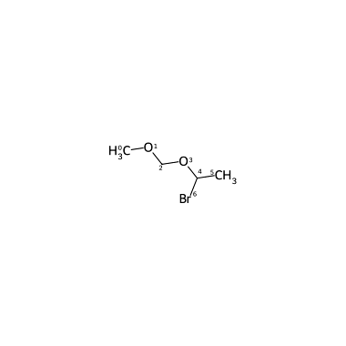 COCOC(C)Br